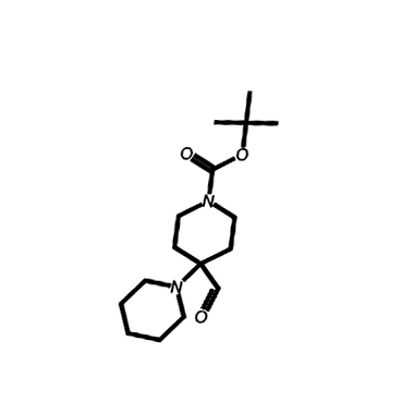 CC(C)(C)OC(=O)N1CCC(C=O)(N2CCCCC2)CC1